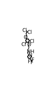 FC(F)(F)c1ccc(CNCCCOc2c(Cl)cc(OCC=C(Cl)Cl)cc2Cl)nc1